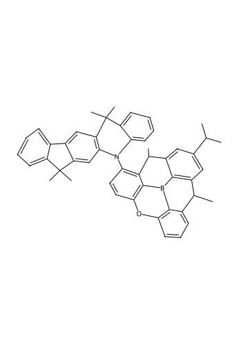 CC(C)c1cc2c3c(c1)C(C)c1c(N4c5ccccc5C(C)(C)c5cc6c(cc54)C(C)(C)c4ccccc4-6)ccc4c1B3c1c(cccc1C2C)O4